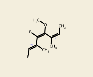 C\C=C(C)/C(OC)=C(F)\C(C)=C\F